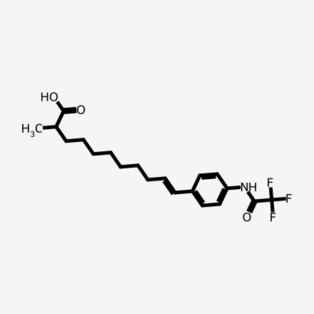 CC(CCCCCCCC=Cc1ccc(NC(=O)C(F)(F)F)cc1)C(=O)O